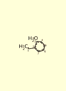 C=Cc1ccccc1.O